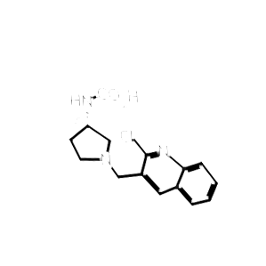 O=C(O)N[C@H]1CCN(Cc2cc3ccccc3nc2Cl)C1